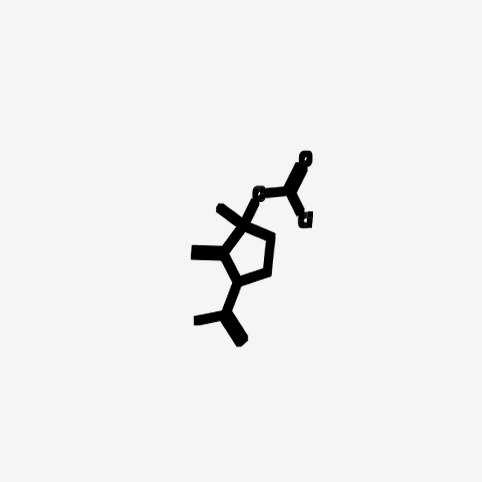 C=C(C)C1CCC(C)(OC(=O)Cl)C1=C